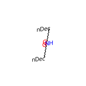 CCCCCCCCCCC=CCCCCCCCC(=O)NC(=O)CCCCCCCC=CCCCCCCCCCC